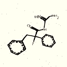 N=C(N)NC(=O)C(F)(Cc1ccccc1)c1ccccc1